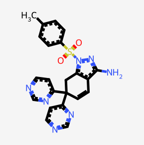 Cc1ccc(S(=O)(=O)n2nc(N)c3c2CC(c2ccncn2)(c2ccncn2)C=C3)cc1